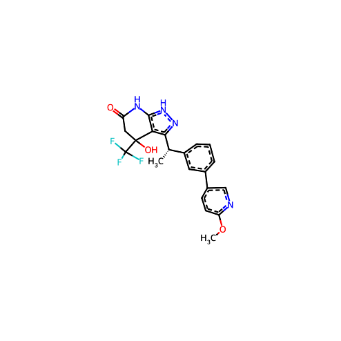 COc1ccc(-c2cccc([C@H](C)c3n[nH]c4c3C(O)(C(F)(F)F)CC(=O)N4)c2)cn1